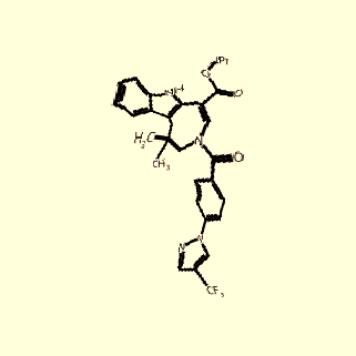 CC(C)OC(=O)C1=CN(C(=O)c2ccc(-n3cc(C(F)(F)F)cn3)cc2)CC(C)(C)c2c1[nH]c1ccccc21